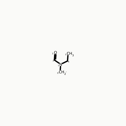 [CH2]N(C=O)CC